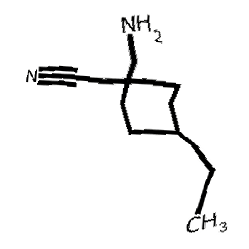 CCC1CC(N)(C#N)C1